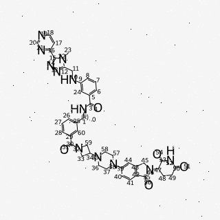 C[C@@H](NC(=O)c1cccc(NCc2nnc(-c3ccncn3)n2C)c1)c1cccc(C(=O)N2CC(N3CCN(c4ccc5c(c4)CN(C4CCC(=O)NC4=O)C5=O)CC3)C2)c1